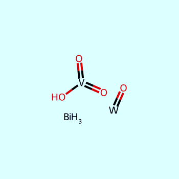 [BiH3].[O]=[V](=[O])[OH].[O]=[W]